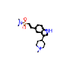 CN1CCC(c2c[nH]c3ccc(/C=C/S(=O)(=O)N(C)C)cc23)CC1